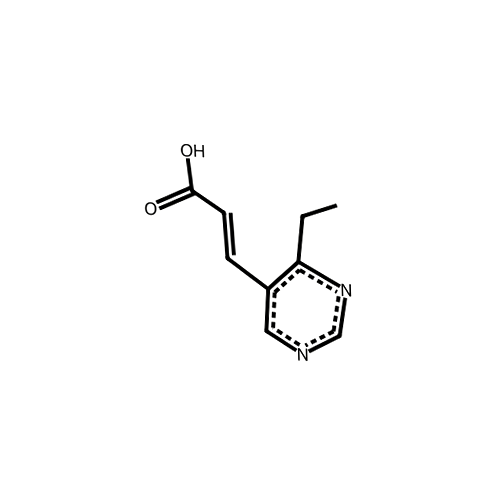 CCc1ncncc1/C=C/C(=O)O